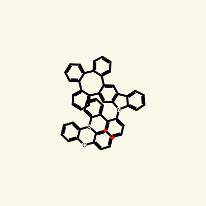 c1ccc2c(c1)Oc1ccccc1B2c1ccccc1-c1ccccc1-n1c2ccccc2c2cc3c(cc21)-c1ccccc1-c1ccccc1-c1ccccc1-3